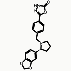 O=c1[nH]nc(-c2ccc(CN3CCC[C@H]3c3ccc4c(c3)OCO4)cc2)o1